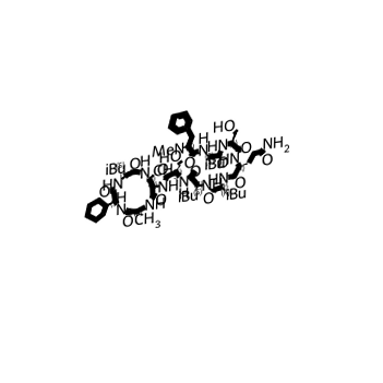 CC[C@@H](C)[C@@H](NC(=O)[C@@H](CCC(N)=O)NC(=O)[C@H](CO)NC(=O)[C@@H](NC(=O)[C@@H](Cc1ccccc1)NC)[C@@H](C)CC)C(=O)N[C@H](C(=O)N[C@@H](CO)C(=O)N[C@H]1C(=O)N[C@@H](C)C(=O)N[C@@H](C2CCCCC2)C(=O)N[C@@H]([C@@H](C)CC)C(=O)N[C@H]1C)[C@@H](C)CC